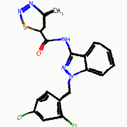 CC1N=NSC1C(=O)Nc1nn(Cc2ccc(Cl)cc2Cl)c2ccccc12